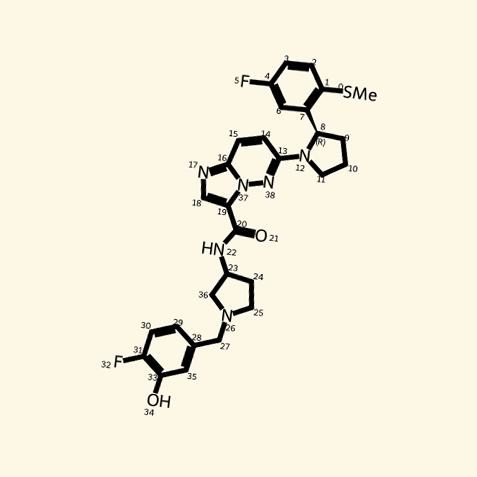 CSc1ccc(F)cc1[C@H]1CCCN1c1ccc2ncc(C(=O)NC3CCN(Cc4ccc(F)c(O)c4)C3)n2n1